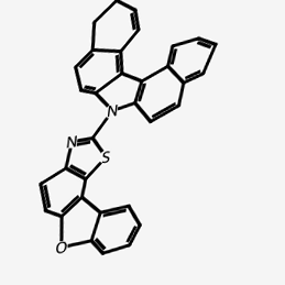 C1=Cc2c(ccc3c2c2c4ccccc4ccc2n3-c2nc3ccc4oc5ccccc5c4c3s2)CC1